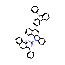 N=C(/N=C1\C(=C\c2ccccc2)C=Cc2ccccc21)n1c2ccccc2c2cc(-c3ccc4c(c3)c3ccccc3n4-c3ccccc3)c3ccccc3c21